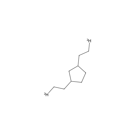 [2H]CCC1CCC(CC[2H])C1